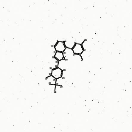 Cc1cc(C)cc(-c2nccc3cc(C4=CC(C)C(C(C)(C)C)C=C4)oc23)c1